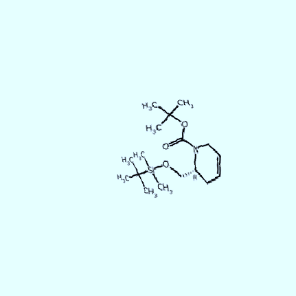 CC(C)(C)OC(=O)N1CC=CC[C@@H]1CO[Si](C)(C)C(C)(C)C